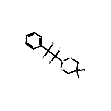 CC1(C)COB(C(F)(F)C(F)(F)c2ccccc2)OC1